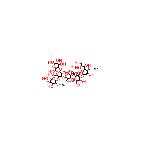 CC(=O)N[C@H]1[C@H](O[C@@H]2[C@@H](O)[C@H](O[C@H]3[C@H](O)[C@@H](O)[C@H](O)O[C@@H]3CO)O[C@H](CO)[C@@H]2O[C@@H]2O[C@H](CO)[C@H](O)[C@H](O)[C@H]2NC(C)=O)O[C@H](CO)[C@@H](O[C@@H]2O[C@H](CO)[C@H](O)[C@H](O[C@]3(C(=O)O)C[C@H](O)[C@@H](NC(C)=O)[C@H]([C@H](O)[C@H](O)CO)O3)[C@H]2O)[C@@H]1O